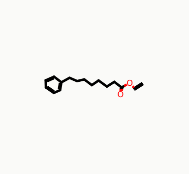 C=COC(=O)CCCCCCCc1ccccc1